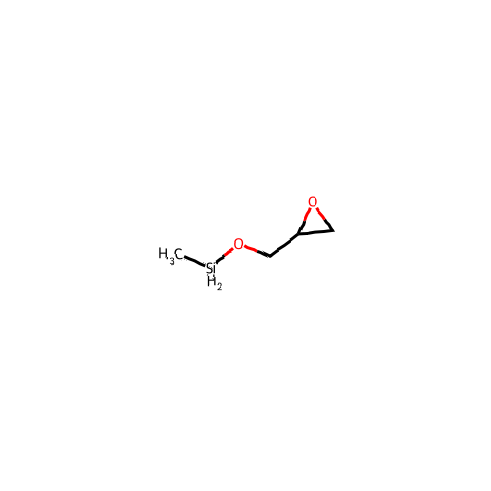 C[SiH2]OCC1CO1